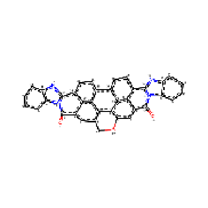 O=c1c2cc3c4c5c(cc6c(=O)n7c8ccccc8nc7c7ccc(c8ccc(c2c84)c2nc4ccccc4n12)c5c67)OC3